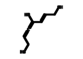 OCC=C=C(O)C=CCO